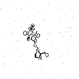 CS(=O)(=O)[Si](CCOCn1ccnc1C=O)(S(C)(=O)=O)S(C)(=O)=O